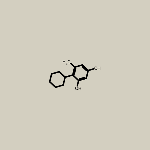 Cc1cc(O)cc(O)c1C1CCCCC1